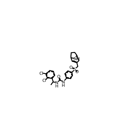 CC(NC(=O)Nc1ccc(S(=O)(=O)CC2=CC3CCC(C2)N3)cc1)c1cccc(Cl)c1Cl